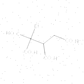 CCC(C(=O)O)(C(=O)O)C(CC(=O)O)C(=O)O